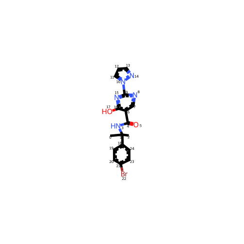 CC(C)(NC(=O)c1cnc(-n2cccn2)nc1O)c1ccc(Br)cc1